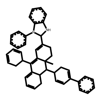 CC12CCC(C3Nc4ccccc4N3c3ccccc3)=CC1=C(C1C=CC=CC1)C1=CC=CCC1C2C1C=CC(c2ccccc2)=CC1